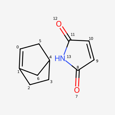 C1=C2CCC(C1)C2.O=C1C=CC(=O)N1